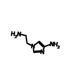 NCCn1cnc(N)c1